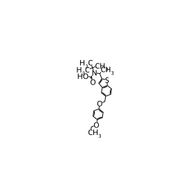 CCOc1ccc(OCc2ccc3sc(C(C)N(C(=O)O)C(C)(C)C)cc3c2)cc1